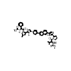 C=C1CC(c2ncc(-c3ccc(-c4ccc5cc(-c6cnc(C7CCCN7C(=O)C(NC(=O)OC)C(C)C)[nH]6)ccc5c4)cc3)[nH]2)N(C(=O)C(NC(=O)OC)c2ccccc2)C1